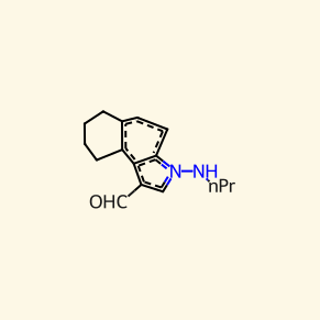 CCCNn1cc(C=O)c2c3c(ccc21)CCCC3